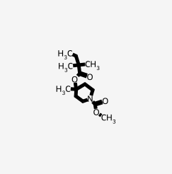 CCC(C)(C)C(=O)OC1(C)CCN(C(=O)OC)CC1